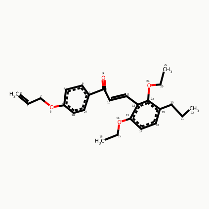 C=CCOc1ccc(C(=O)C=Cc2c(OCC)ccc(CCC)c2OCC)cc1